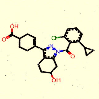 O=C(O)C1CC=C(c2nn(C(=O)c3c(Cl)cccc3C3CC3)c3c2CCC(O)C3)CC1